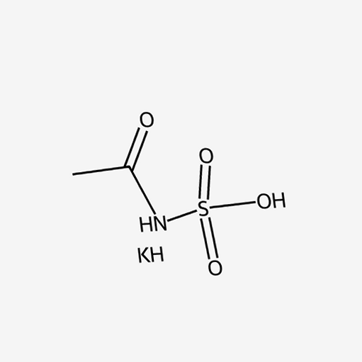 CC(=O)NS(=O)(=O)O.[KH]